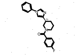 O=C(c1ccc(F)cc1)N1CCC[C@H](c2cn(-c3ccccc3)cn2)C1